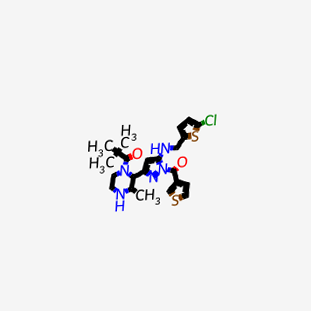 CC1NCCN(C(=O)C(C)(C)C)C1c1cc(NCc2ccc(Cl)s2)n(C(=O)c2ccsc2)n1